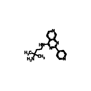 CC(C)(N)CCNc1nc(-c2ccncc2)nc2cnccc12